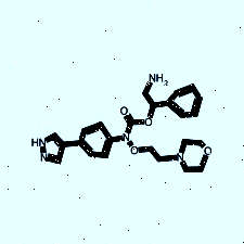 NCC(OC(=O)N(OCCN1CCOCC1)c1ccc(-c2cn[nH]c2)cc1)c1ccccc1